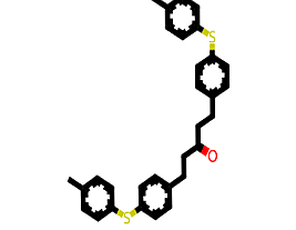 Cc1ccc(Sc2ccc(CCC(=O)CCc3ccc(Sc4ccc(C)cc4)cc3)cc2)cc1